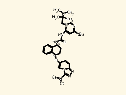 CCN(CC)c1nnc2ccc(O[C@@H]3CC[C@H](NC(=O)NC4=CC(C(C)(C)C)=NCN4CC(C)(C)N(C)C)c4ccccc43)cn12